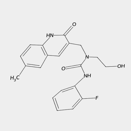 Cc1ccc2[nH]c(=O)c(CN(CCO)C(=O)Nc3ccccc3F)cc2c1